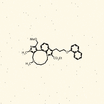 CCOC(=O)c1c(CCCOc2cccc3ccccc23)c2cccc3c2n1CCCCN(C)Cc1c-3c(COC)nn1C